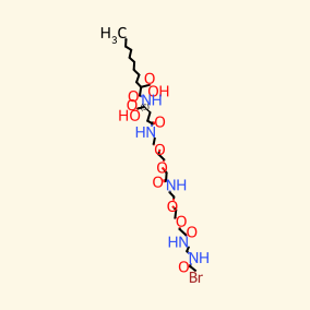 CCCCCCCCCC(C(=O)O)C(=O)N[C@@H](CCC(=O)NCCOCCOCC(=O)NCCOCCOCC(=O)NCCNC(=O)CBr)C(=O)O